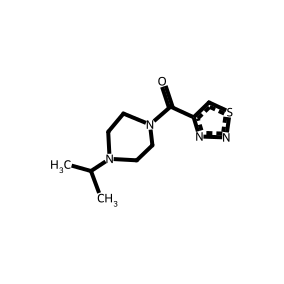 CC(C)N1CCN(C(=O)c2csnn2)CC1